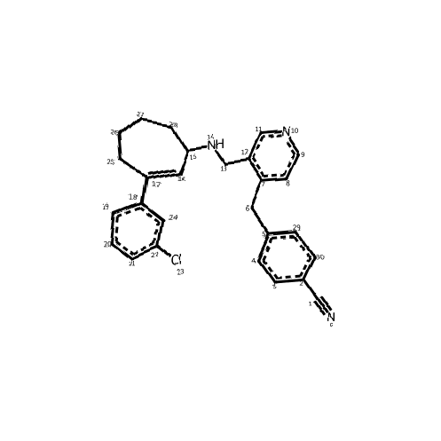 N#Cc1ccc(Cc2ccncc2CNC2C=C(c3cccc(Cl)c3)CCCC2)cc1